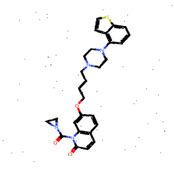 O=C(N1CC1)n1c(=O)ccc2ccc(OCCCCN3CCN(c4cccc5sccc45)CC3)cc21